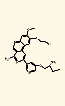 CC[C@@H](N)COc1cncc(-c2cc3c(cnc4cc(OC)c(OCCCl)cc43)c(N)n2)c1